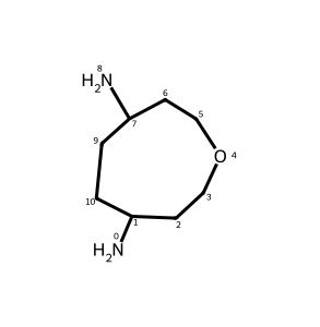 NC1CCOCCC(N)CC1